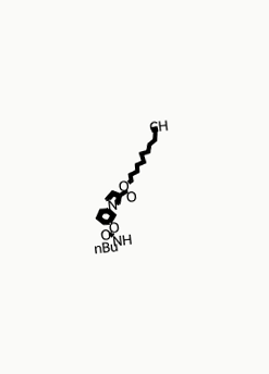 C#CCCCCCCCCCOC(=O)c1ccn(-c2cccc(OC(=O)NCCCC)c2)c1